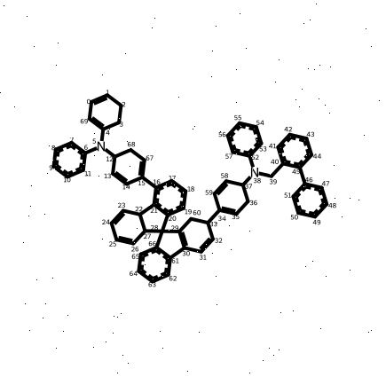 C1=CCCC(N(c2ccccc2)C2C=CC(c3cccc4c3C3C=CC=CC3C43C4=C(C=CC(C5=CCC(N(Cc6ccccc6-c6ccccc6)c6ccccc6)C=C5)C4)c4ccccc43)=CC2)=C1